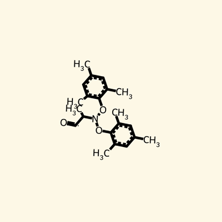 Cc1cc(C)c(ON(Oc2c(C)cc(C)cc2C)C(C)[C]=O)c(C)c1